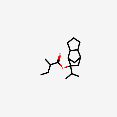 CCC(C)C(=O)OC1(C(C)C)CC2CC1C1CCCC21